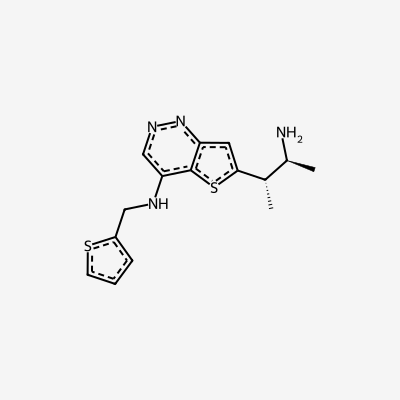 C[C@H](N)[C@H](C)c1cc2nncc(NCc3cccs3)c2s1